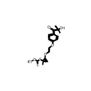 CCOC(=S)SC1(C)C=C1OCCOc1ccc(C(=O)C(C)(C)O)cc1